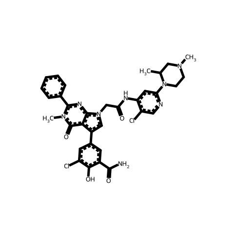 CC1CN(C)CCN1c1cc(NC(=O)Cn2cc(-c3cc(Cl)c(O)c(C(N)=O)c3)c3c(=O)n(C)c(-c4ccccc4)nc32)c(Cl)cn1